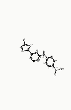 Cc1cnc(-c2ccnc(Nc3ccc([N+](=O)[O-])cc3)n2)s1